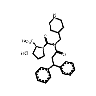 Cl.O=C(O)[C@@H]1CCCN1C(=O)N(CC1CCNCC1)C(=O)CC(c1ccccc1)c1ccccc1